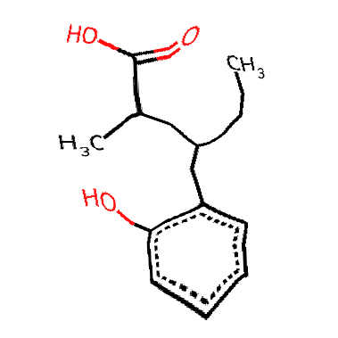 CCC(c1ccccc1O)C(C)C(=O)O